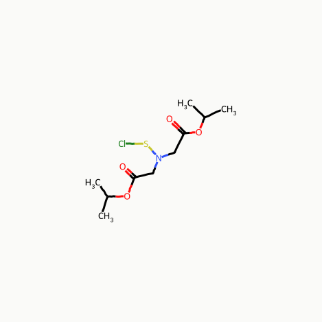 CC(C)OC(=O)CN(CC(=O)OC(C)C)SCl